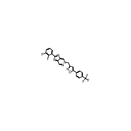 Fc1cccc(-c2nc3cnn(Cc4cc(-c5ccc(C(F)(F)F)cc5)on4)cc-3n2)c1F